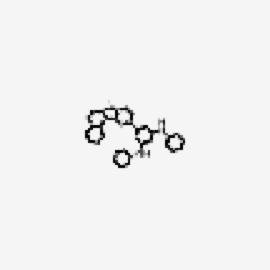 c1ccc(Nc2cc(Nc3ccccc3)cc(-c3ccc4sc5ccc6ccccc6c5c4c3)c2)cc1